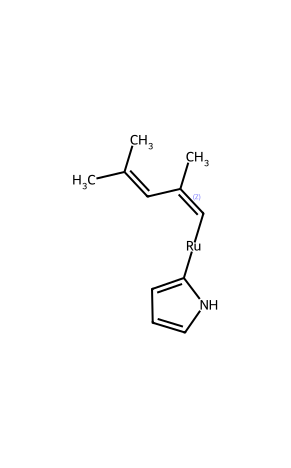 CC(C)=C/C(C)=[CH]\[Ru][c]1ccc[nH]1